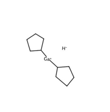 C1CC[CH]([Ga+][CH]2CCCC2)C1.[H-]